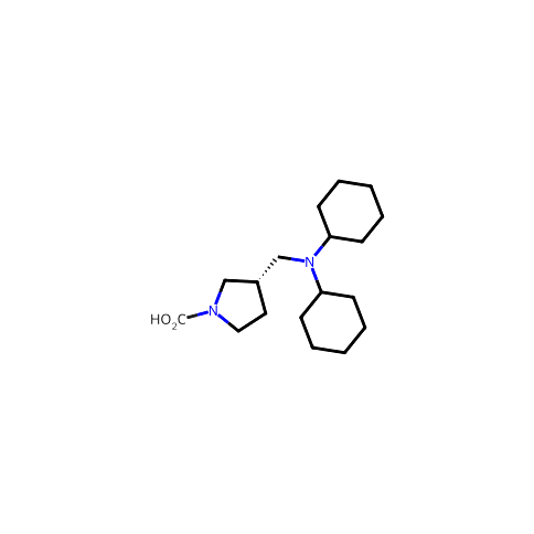 O=C(O)N1CC[C@@H](CN(C2CCCCC2)C2CCCCC2)C1